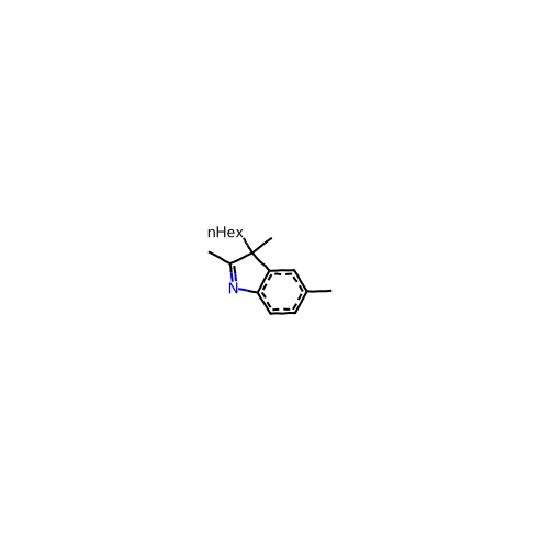 CCCCCCC1(C)C(C)=Nc2ccc(C)cc21